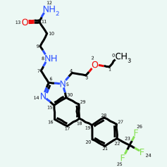 CCOCCn1c(CNCCC(N)=O)nc2ccc(-c3ccc(C(F)(F)F)cc3)cc21